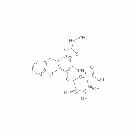 CNc1nc2c(Cc3cccnc3)c(C)c(OC3O[C@H](C(=O)O)[C@@H](O)[C@H](O)[C@H]3O)c(C)c2s1